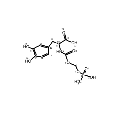 CP(=O)(O)OCOC(=O)N[C@@H](Cc1ccc(O)c(O)c1)C(=O)O